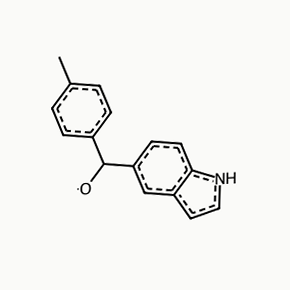 Cc1ccc(C([O])c2ccc3[nH]ccc3c2)cc1